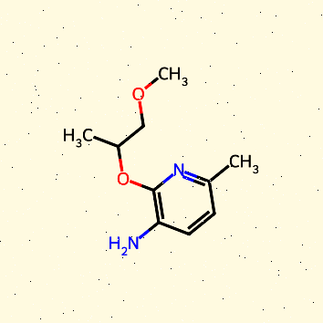 COCC(C)Oc1nc(C)ccc1N